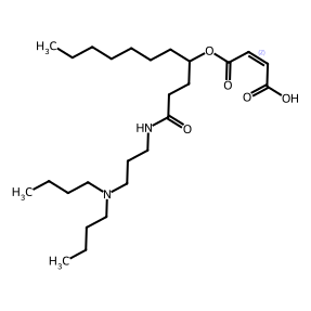 CCCCCCCC(CCC(=O)NCCCN(CCCC)CCCC)OC(=O)/C=C\C(=O)O